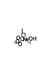 CCOC(=O)c1cn([C@@H](CO)CC(C)C)c2ccc(I)cc2c1=O